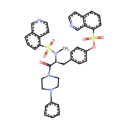 CN([C@@H](Cc1ccc(OS(=O)(=O)c2cccc3ccncc23)cc1)C(=O)N1CCN(c2ccccc2)CC1)S(=O)(=O)c1cccc2cnccc12